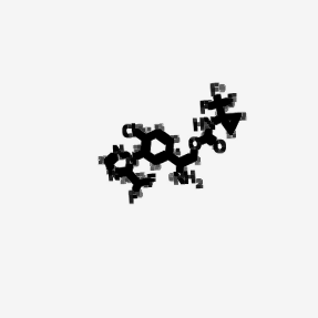 N/C(=C/OC(=O)NC1(C(F)(F)F)CC1)c1ccc(Cl)c(-n2ncnc2C(F)F)c1